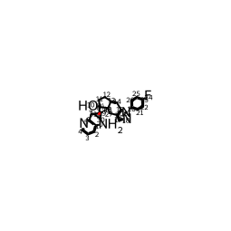 Nc1cccnc1CC[C@]1(O)CCC2=Cc3c(cnn3-c3ccc(F)cc3)C[C@@]21C1CC1